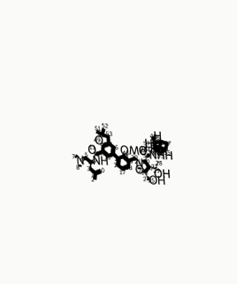 C=C(C)C[C@@H](CN(C)C)NC(=O)c1cc(-c2cccc(CN3O[C@@H](CO)[C@@H]([C@H](C)O)[C@H]3C(=O)N[C@H]3C[C@H]4C[C@@H]([C@@H]3C)C4(C)C)c2OC)cc2c1OC(C)(C)C2